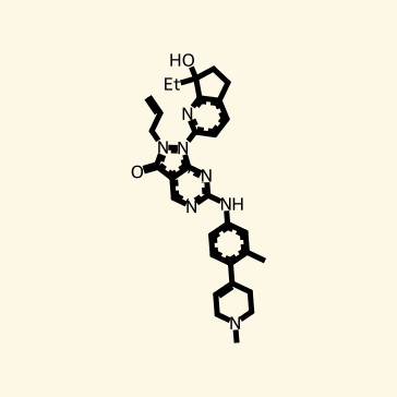 C=CCn1c(=O)c2cnc(Nc3ccc(C4=CCN(C)CC4)c(C)c3)nc2n1-c1ccc2c(n1)C(O)(CC)CC2